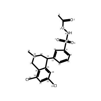 CC(=O)ONS(=O)(=O)c1cccc(C2CN(C)Cc3c(Cl)cc(Cl)cc32)c1